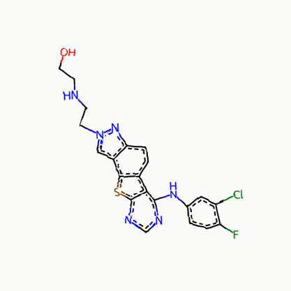 OCCNCCn1cc2c(ccc3c2sc2ncnc(Nc4ccc(F)c(Cl)c4)c23)n1